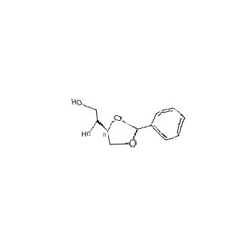 OCC(O)[C@@H]1COC(c2ccccc2)O1